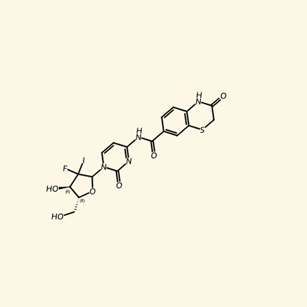 O=C1CSc2cc(C(=O)Nc3ccn(C4O[C@H](CO)[C@@H](O)C4(F)I)c(=O)n3)ccc2N1